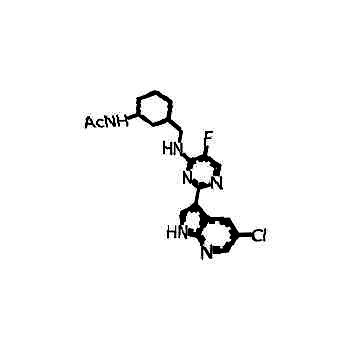 CC(=O)NC1CCCC(CNc2nc(-c3c[nH]c4ncc(Cl)cc34)ncc2F)C1